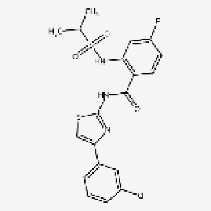 CC(C)S(=O)(=O)Nc1cc(F)ccc1C(=O)Nc1nc(-c2cccc(Cl)c2)cs1